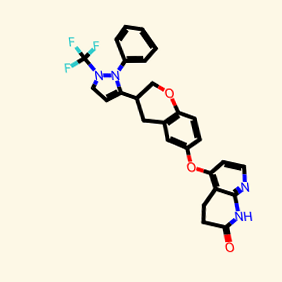 O=C1CCc2c(Oc3ccc4c(c3)CC(C3=CCN(C(F)(F)F)N3c3ccccc3)CO4)ccnc2N1